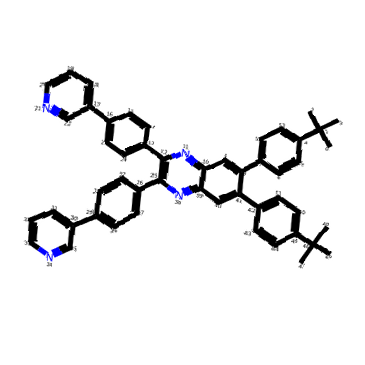 CC(C)(C)c1ccc(-c2cc3nc(-c4ccc(-c5cccnc5)cc4)c(-c4ccc(-c5cccnc5)cc4)nc3cc2-c2ccc(C(C)(C)C)cc2)cc1